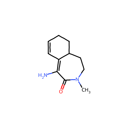 CN1CCC2CCC=CC2=C(N)C1=O